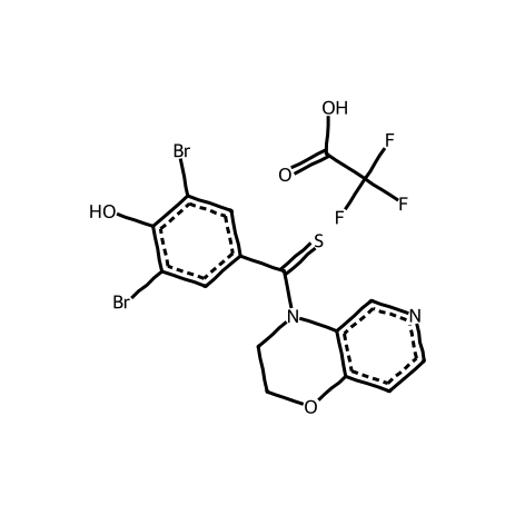 O=C(O)C(F)(F)F.Oc1c(Br)cc(C(=S)N2CCOc3ccncc32)cc1Br